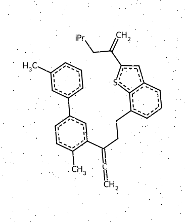 C=C=C(CCc1cccc2cc(C(=C)CC(C)C)sc12)c1cc(-c2cccc(C)c2)ccc1C